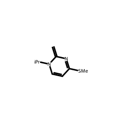 C=C1N=C(SC)C=CN1C(C)C